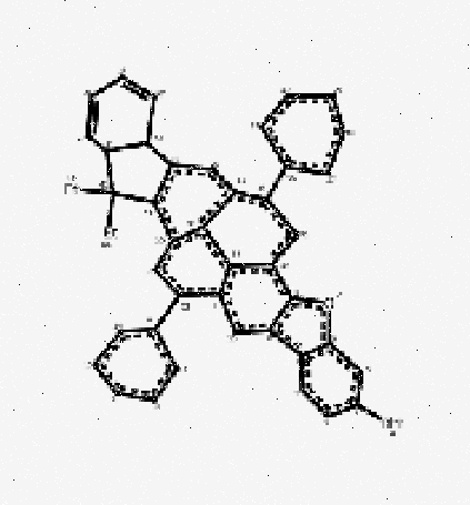 CCCc1ccc2c(c1)oc1c2cc2c(-c3ccccc3)cc3c4c(cc5c(-c6ccccc6)cc1c2c53)C1C=CC=CC1C4(CC)CC